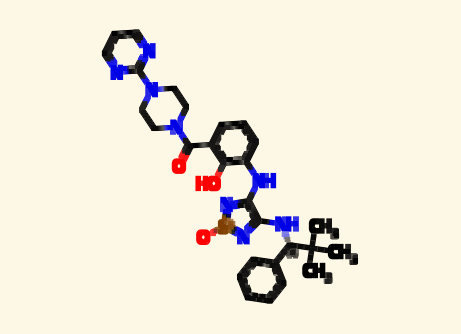 CC(C)(C)[C@@H](Nc1n[s+]([O-])nc1Nc1cccc(C(=O)N2CCN(c3ncccn3)CC2)c1O)c1ccccc1